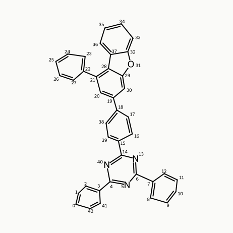 c1ccc(-c2nc(-c3ccccc3)nc(-c3ccc(-c4cc(-c5ccccc5)c5c(c4)oc4ccccc45)cc3)n2)cc1